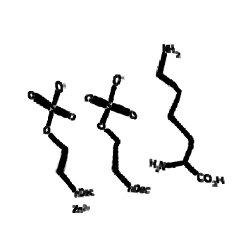 CCCCCCCCCCCCOS(=O)(=O)[O-].CCCCCCCCCCCCOS(=O)(=O)[O-].NCCCCC(N)C(=O)O.[Zn+2]